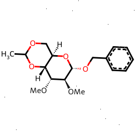 CO[C@H]1[C@H](OC)[C@@H](OCc2ccccc2)O[C@@H]2COC(C)O[C@@H]12